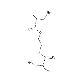 CC(CBr)C(=O)OCCOC(=O)C(C)CBr